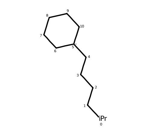 CC(C)CCCC[C]1CCCCC1